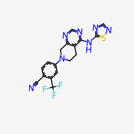 N#Cc1ccc(N2CCc3c(ncnc3Nc3ncns3)C2)cc1C(F)(F)F